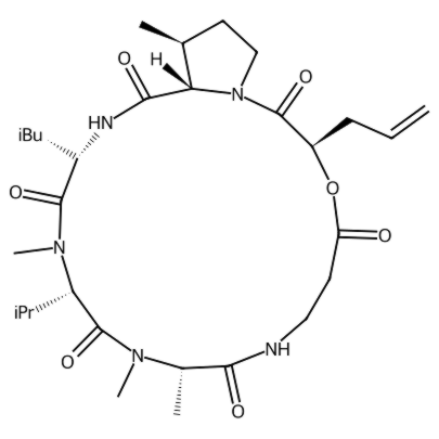 C=CC[C@H]1OC(=O)CCNC(=O)[C@H](C)N(C)C(=O)[C@H](C(C)C)N(C)C(=O)[C@H]([C@@H](C)CC)NC(=O)[C@@H]2[C@@H](C)CCN2C1=O